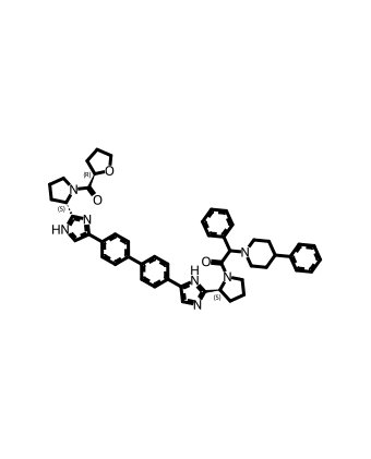 O=C(C(c1ccccc1)N1CCC(c2ccccc2)CC1)N1CCC[C@H]1c1ncc(-c2ccc(-c3ccc(-c4c[nH]c([C@@H]5CCCN5C(=O)[C@H]5CCCO5)n4)cc3)cc2)[nH]1